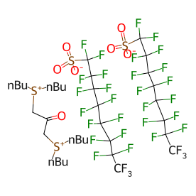 CCCC[S+](CCCC)CC(=O)C[S+](CCCC)CCCC.O=S(=O)([O-])C(F)(F)C(F)(F)C(F)(F)C(F)(F)C(F)(F)C(F)(F)C(F)(F)C(F)(F)F.O=S(=O)([O-])C(F)(F)C(F)(F)C(F)(F)C(F)(F)C(F)(F)C(F)(F)C(F)(F)C(F)(F)F